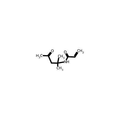 C=CC(=O)NC(C)(C)CC(C)=O